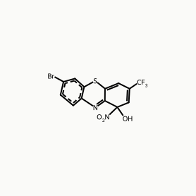 O=[N+]([O-])C1(O)C=C(C(F)(F)F)C=C2Sc3cc(Br)ccc3N=C21